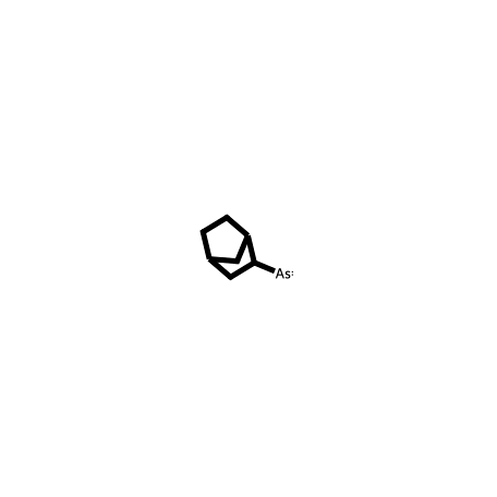 [As]C1CC2CCC1C2